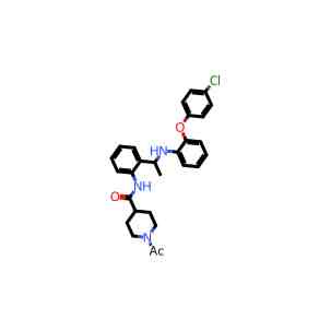 CC(=O)N1CCC(C(=O)Nc2ccccc2C(C)Nc2ccccc2Oc2ccc(Cl)cc2)CC1